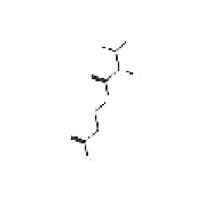 CC(C)[C@@H](O)C(=O)NCCC(=O)O